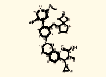 COc1cc(-c2ccc([C@@H]3CCc4ccc(C(C5CC5)[C@H](C)C(=O)O)cc4O3)cc2CN2CCCC23COC3)c(F)cn1